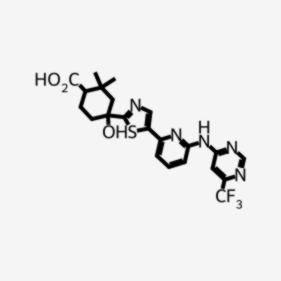 CC1(C)CC(O)(c2ncc(-c3cccc(Nc4cc(C(F)(F)F)ncn4)n3)s2)CCC1C(=O)O